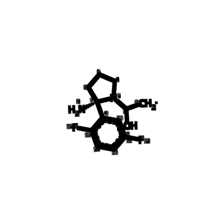 [CH2]C(O)N1CCC[C@]1(N)c1cc(F)ccc1F